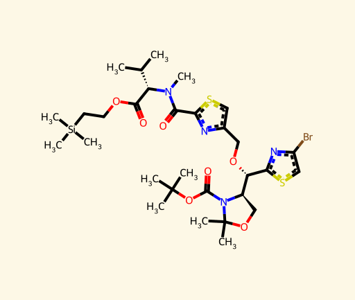 CC(C)[C@@H](C(=O)OCC[Si](C)(C)C)N(C)C(=O)c1nc(CO[C@H](c2nc(Br)cs2)[C@H]2COC(C)(C)N2C(=O)OC(C)(C)C)cs1